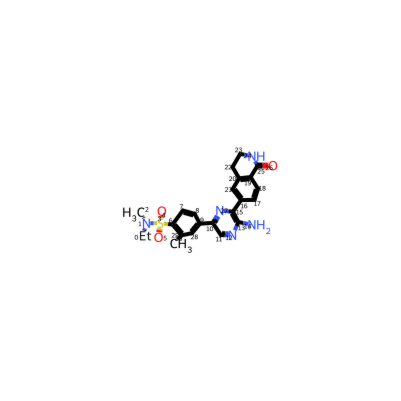 CCN(C)S(=O)(=O)c1ccc(-c2cnc(N)c(-c3ccc4c(c3)CCNC4=O)n2)cc1C